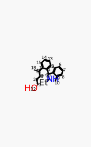 CCN[C@](C)(c1ccccc1C)c1ccccc1[C@H](C)CCCO